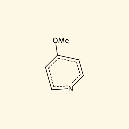 COc1[c]cncc1